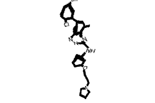 Cc1cc(-c2cc(O)ccc2Cl)cc2nnc(Nc3cccc(OCCN4CCCC4)c3)nc12